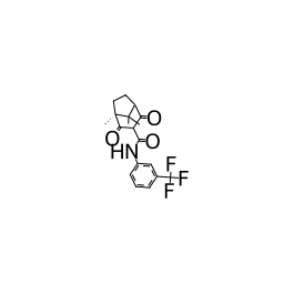 CC1(C)C2CC[C@]1(C)C(=O)C(C(=O)Nc1cccc(C(F)(F)F)c1)C2=O